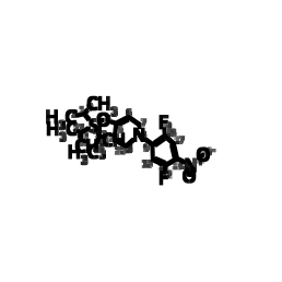 CC(C)[Si](OC1=CCN(c2cc(F)c([N+](=O)[O-])cc2F)CC1)(C(C)C)C(C)C